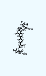 CC(C)(C)OC(=O)N1[C@@H]2C[C@@H]2C[C@H]1c1nc(-c2ccc(-c3ccc4c(c3)c(Cl)cc3[nH]c([C@@H]5C[C@H]6C[C@H]6N5C(=O)OC(C)(C)C)nc34)cc2)c(Br)[nH]1